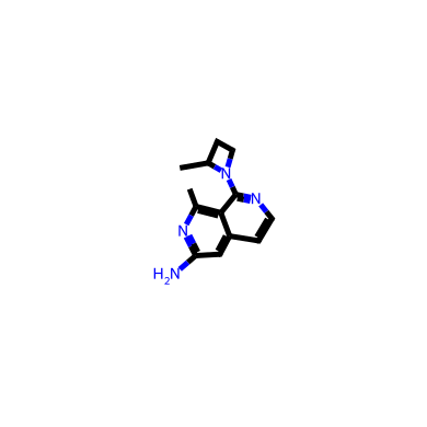 Cc1nc(N)cc2ccnc(N3CCC3C)c12